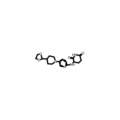 O=C1CCC(Nc2ccc(N3CCC(C4OCCO4)CC3)cn2)C(=O)N1